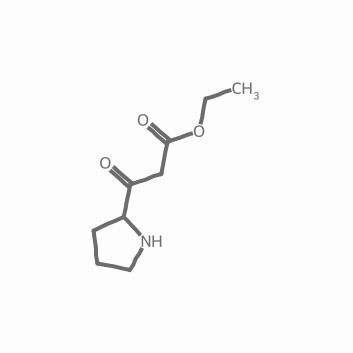 CCOC(=O)CC(=O)C1CCCN1